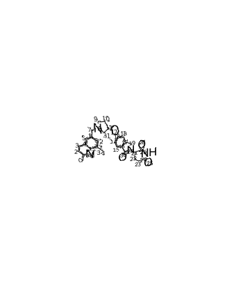 Cc1ccc2cc(CN3CC[C@H](Oc4ccc5c(c4)CN(C4CCC(=O)NC4=O)C5=O)C3)cc(C)c2n1